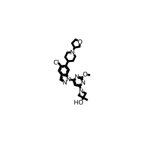 COc1nc(N2CC(C)(O)C2)cc(-n2ncc3cc(Cl)c(C4CCN(C5CCOC5)CC4)cc32)n1